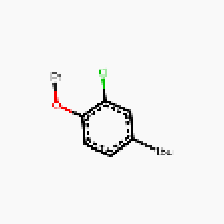 [CH2]C(C)(C)c1ccc(OCC)c(Cl)c1